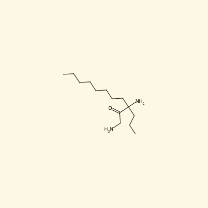 CCCCCCCCC(N)(CCC)C(=O)CN